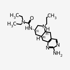 CCCN1C[C@@H](NC(=O)N(CC)CC)C[C@@H]2Cc3nc(N)ncc3C[C@H]21